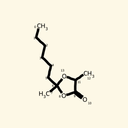 CCCCCCC1(C)OC(=O)C(C)O1